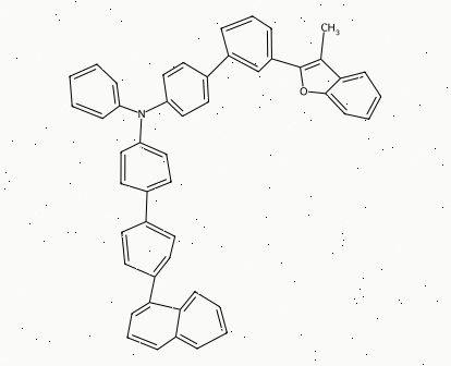 Cc1c(-c2cccc(-c3ccc(N(c4ccccc4)c4ccc(-c5ccc(-c6cccc7ccccc67)cc5)cc4)cc3)c2)oc2ccccc12